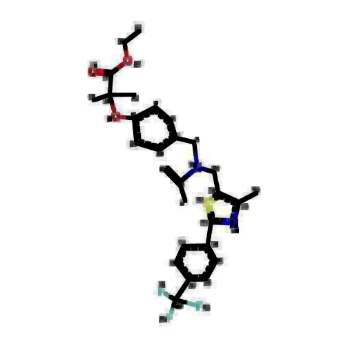 C=C(C)N(Cc1ccc(OC(C)(C)C(=O)OCC)cc1)Cc1sc(-c2ccc(C(F)(F)F)cc2)nc1C